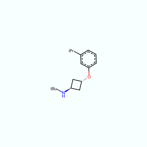 CC(C)c1cccc(O[C@H]2C[C@H](NC(C)(C)C)C2)c1